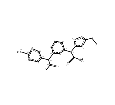 CCc1nnc(N(C(N)=O)c2cccc(C(C(C)=O)c3cnc(N)nc3)c2)s1